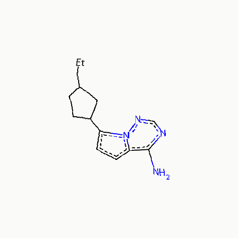 CCC1CCC(c2ccc3c(N)ncnn23)C1